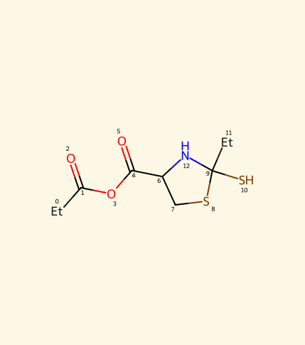 CCC(=O)OC(=O)C1CSC(S)(CC)N1